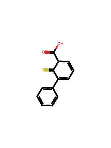 O=C(O)C1C=CC=C(c2ccccc2)C1=S